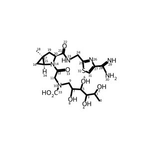 CC(O)C(O)C(O)C(O)CN(CC(=O)N1[C@H]2C[C@@]2(C)C[C@H]1C(=O)NCc1nc(C(=N)N)cs1)C(=O)O